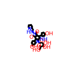 O=C1c2c(c3c4ccc(O)cc4n(C4OC(CO)C(O)C(O)C4O)c3c3[nH]c4cc(O)ccc4c23)C(=O)N1NCc1ccccn1